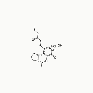 CCCC(=O)C=Cc1c[nH]c(=O)c(OC(C)[C@@H]2CCCN2)c1.Cl.Cl